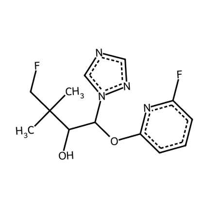 CC(C)(CF)C(O)C(Oc1cccc(F)n1)n1cncn1